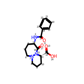 O=C(N[C@@H]1CCCN2CCC[C@@H](C(=O)O)N2C1=O)c1ccccc1